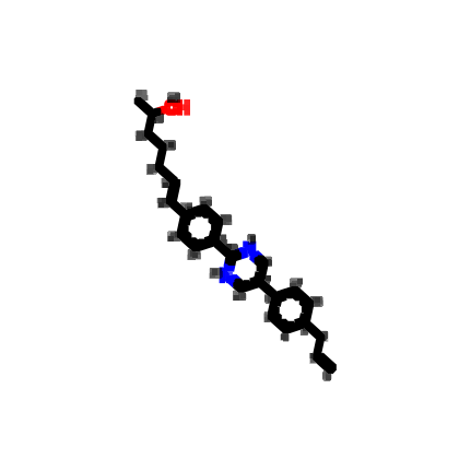 C=CCc1ccc(-c2cnc(-c3ccc(C=CCCCC(C)O)cc3)nc2)cc1